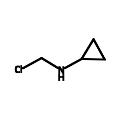 ClCNC1CC1